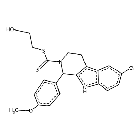 COc1ccc(C2c3[nH]c4ccc(Cl)cc4c3CCN2C(=S)SCCO)cc1